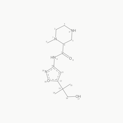 CN1CCNCC1C(=O)Nc1cc(C(C)(C)CO)on1